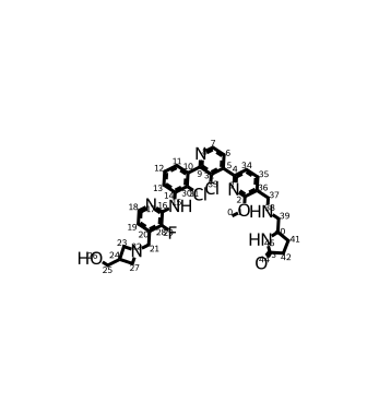 COc1nc(-c2ccnc(-c3cccc(Nc4nccc(CN5CC(CO)C5)c4F)c3Cl)c2Cl)ccc1CNCC1CCC(=O)N1